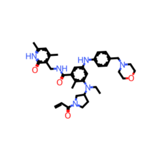 C=CC(=O)N1CCC(N(CC)c2cc(Nc3ccc(CN4CCOCC4)cc3)cc(C(=O)NCc3c(C)cc(C)[nH]c3=O)c2C)C1